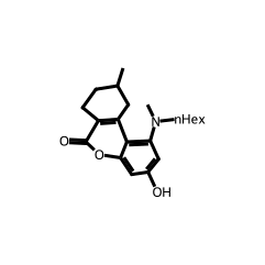 CCCCCCN(C)c1cc(O)cc2oc(=O)c3c(c12)CC(C)CC3